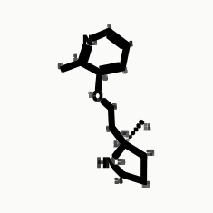 Cc1ncccc1OCC[C@@]1(C)CCCN1